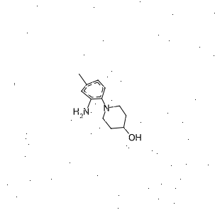 Cc1ccc(N2CCC(O)CC2)c(N)c1